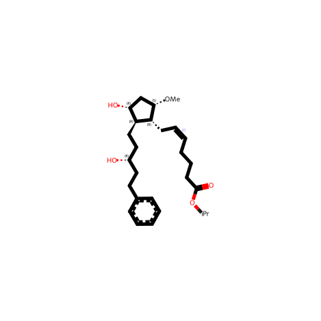 CO[C@H]1C[C@@H](O)[C@H](CC[C@@H](O)CCc2ccccc2)[C@H]1C/C=C\CCCC(=O)OC(C)C